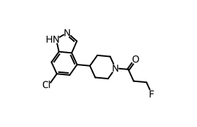 O=C(CCF)N1CCC(c2cc(Cl)cc3[nH]ncc23)CC1